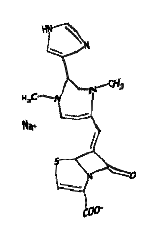 CN1C=C(/C=C2/C(=O)N3C(C(=O)[O-])=CSC23)N(C)C1c1c[nH]cn1.[Na+]